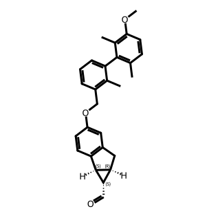 COc1ccc(C)c(-c2cccc(COc3ccc4c(c3)C[C@H]3[C@H](C=O)[C@@H]43)c2C)c1C